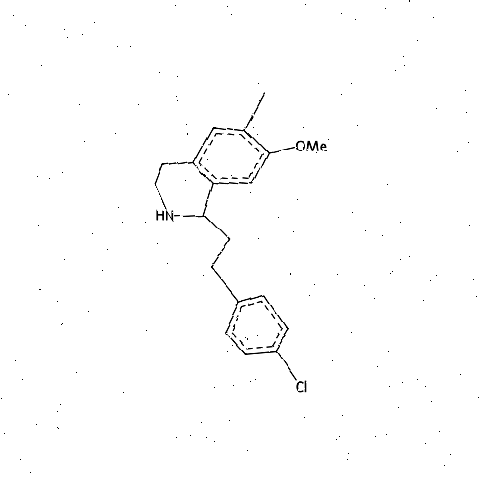 COc1cc2c(cc1C)CCNC2CCc1ccc(Cl)cc1